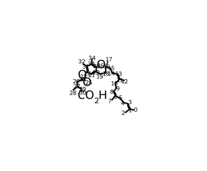 CC(C)=CCCC(C)=CCCC(C)=CCC[C@]1(C)CCc2cc(OC(=O)CC(C)CC(=O)O)c(C)c(C)c2O1